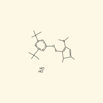 CC1=CC(N(C)C)=[C]([Ti][O]c2cc(C(C)(C)C)cc(C(C)(C)C)c2)C1C.Cl.Cl